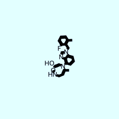 C/C1=C/CNO/C(O)=C\N1c1cccc2c1ncn2Cc1c(C)cccc1F